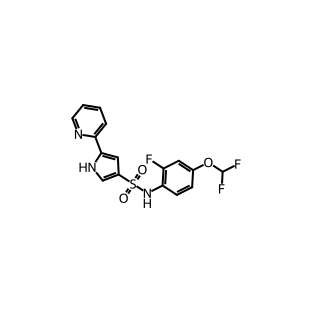 O=S(=O)(Nc1ccc(OC(F)F)cc1F)c1c[nH]c(-c2ccccn2)c1